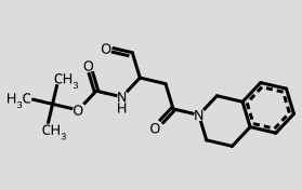 CC(C)(C)OC(=O)NC(C=O)CC(=O)N1CCc2ccccc2C1